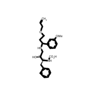 C=CCOCCC(NC[C@H](O)[C@H](Cc1ccccc1)NC(=O)O)c1cccc(OC)c1